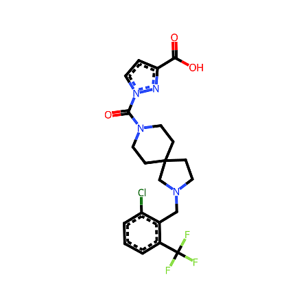 O=C(O)c1ccn(C(=O)N2CCC3(CCN(Cc4c(Cl)cccc4C(F)(F)F)C3)CC2)n1